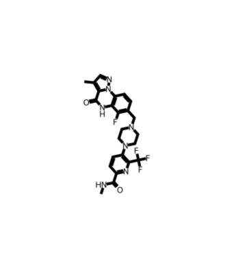 CNC(=O)c1ccc(N2CCN(Cc3ccc4c([nH]c(=O)c5c(C)cnn54)c3F)CC2)c(C(F)(F)F)n1